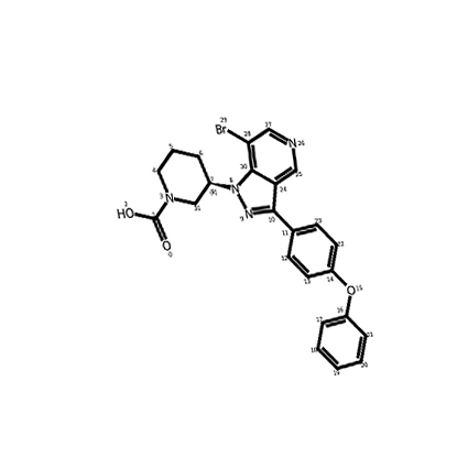 O=C(O)N1CCC[C@@H](n2nc(-c3ccc(Oc4ccccc4)cc3)c3cncc(Br)c32)C1